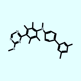 CSc1ncnc(-c2c(C)c(C)c(N(C)c3ccc(-c4cc(C)cc(C)c4)cc3)c(C)c2C)n1